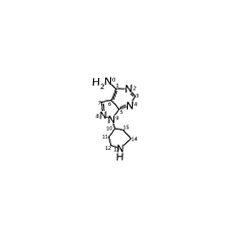 Nc1ncnc2c1cnn2C1CCNCC1